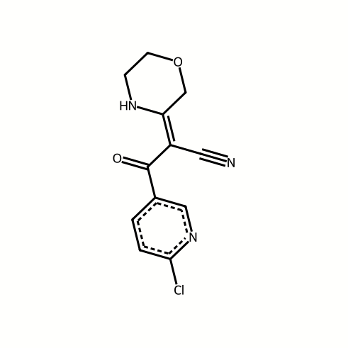 N#CC(C(=O)c1ccc(Cl)nc1)=C1COCCN1